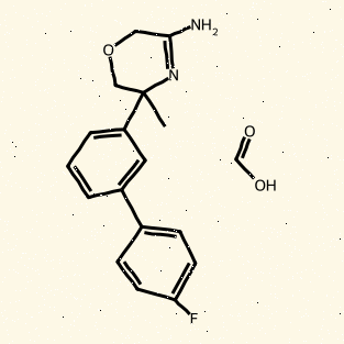 CC1(c2cccc(-c3ccc(F)cc3)c2)COCC(N)=N1.O=CO